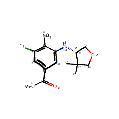 COC(=O)c1cc(F)c([N+](=O)[O-])c(N[C@@H]2COCC2(C)C)c1